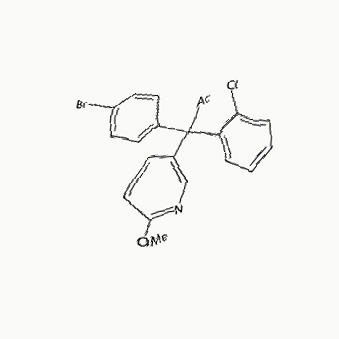 COc1ccc(C(C(C)=O)(c2ccc(Br)cc2)c2ccccc2Cl)cn1